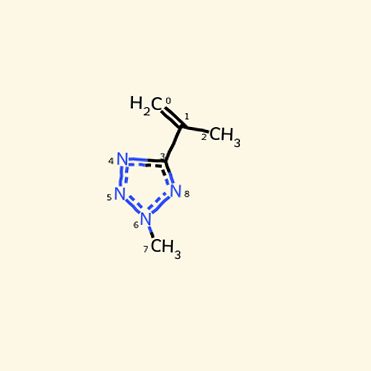 C=C(C)c1nnn(C)n1